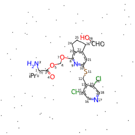 CC(C)[C@H](N)C(=O)OCOc1nc(SCc2c(Cl)cncc2Cl)cc2c1CCC2.O=CO